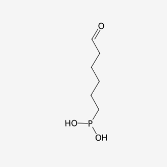 O=CCCCCCP(O)O